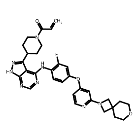 C=CC(=O)N1CCC(c2n[nH]c3ncnc(Nc4ccc(Oc5ccnc(N6CC7(CCOCC7)C6)c5)cc4F)c23)CC1